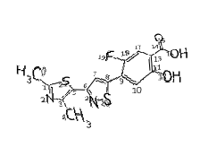 Cc1nc(C)c(-c2cc(-c3cc(O)c(C(=O)O)cc3F)sn2)s1